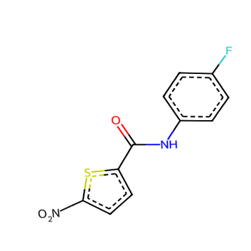 O=C(Nc1ccc(F)cc1)c1ccc([N+](=O)[O-])s1